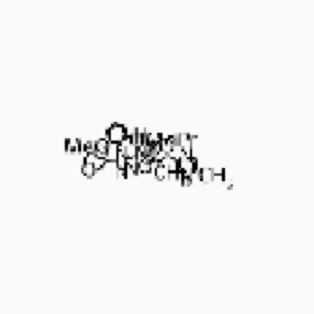 COc1cccc(OC)c1-n1c(NS(=O)(=O)[C@H](C)[C@H](OC(C)C)c2cnc(C)cn2)nnc1C1COCCO1